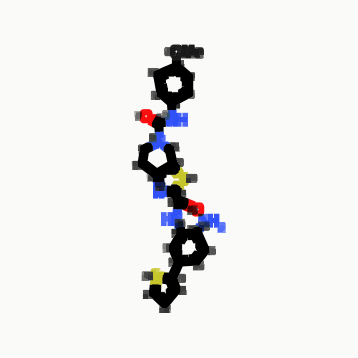 COc1ccc(NC(=O)N2CCc3nc(C(=O)Nc4cc(-c5cccs5)ccc4N)sc3C2)cc1